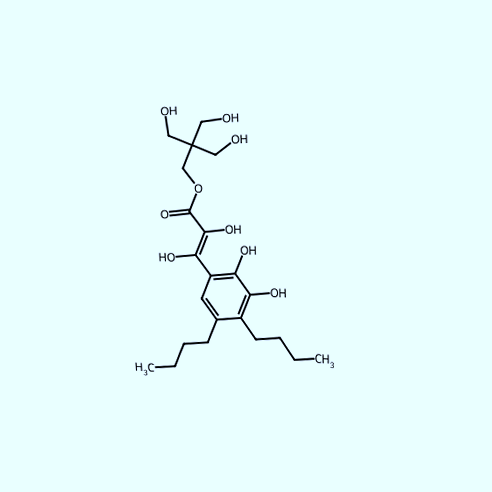 CCCCc1cc(C(O)=C(O)C(=O)OCC(CO)(CO)CO)c(O)c(O)c1CCCC